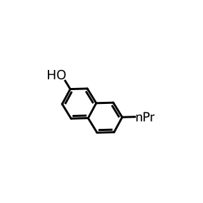 CCCc1ccc2ccc(O)cc2c1